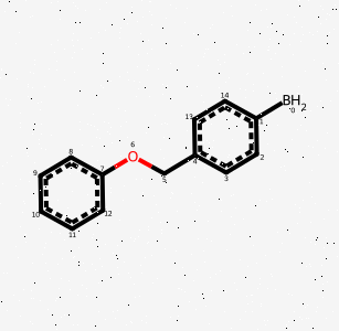 Bc1ccc(COc2ccccc2)cc1